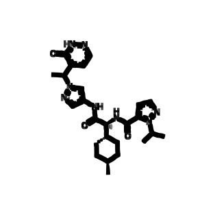 CC(c1ccn[nH]c1=O)n1cc(NC(=O)[C@@H](NC(=O)c2ccnn2C(C)C)[C@H]2CC[C@H](C)CC2)cn1